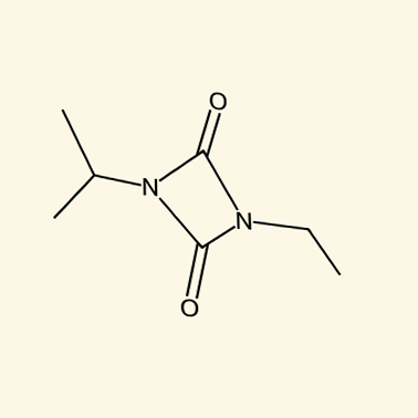 CCN1C(=O)N(C(C)C)C1=O